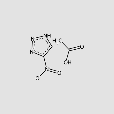 CC(=O)O.O=[N+]([O-])c1c[nH]nn1